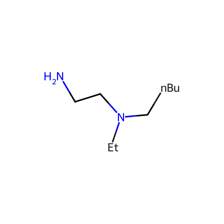 CCCCCN(CC)CCN